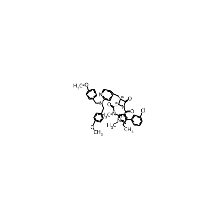 CCC(NC(=O)N1C(=O)[C@H](Cc2ccnc(N(Cc3ccc(OC)cc3)Cc3ccc(OC)cc3)c2)[C@H]1C(=O)N(C)c1ccnn1C)c1cccc(Cl)c1